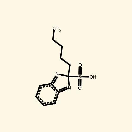 CCCCCC1(S(=O)(=O)O)N=c2ccccc2=N1